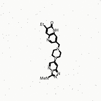 CCc1cc2ncc(CN3CCN(c4cnn5c(NC)nnc5c4)CC3)cc2[nH]c1=O